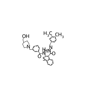 Cc1ccc(C=NNC(=O)c2c(NC(=O)c3cccc(CN4CCC(CO)CC4)c3)sc3ccccc23)cc1C